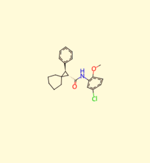 COc1ccc(Cl)cc1NC(=O)[C@H]1[C@H](c2ccccc2)C12CCCCC2